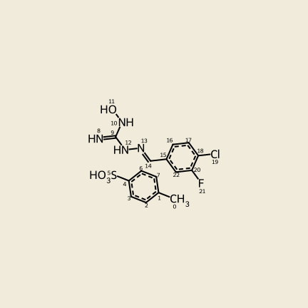 Cc1ccc(S(=O)(=O)O)cc1.N=C(NO)NN=Cc1ccc(Cl)c(F)c1